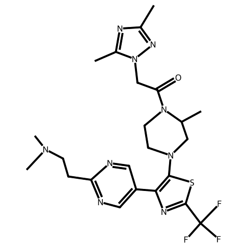 Cc1nc(C)n(CC(=O)N2CCN(c3sc(C(F)(F)F)nc3-c3cnc(CCN(C)C)nc3)CC2C)n1